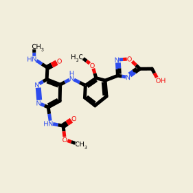 CNC(=O)c1nnc(NC(=O)OC)cc1Nc1cccc(-c2noc(CO)n2)c1OC